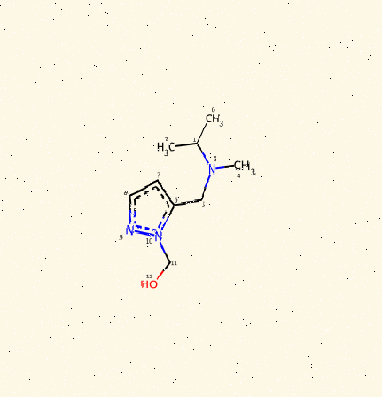 CC(C)N(C)Cc1ccnn1CO